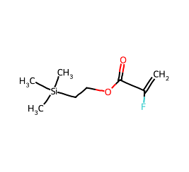 C=C(F)C(=O)OCC[Si](C)(C)C